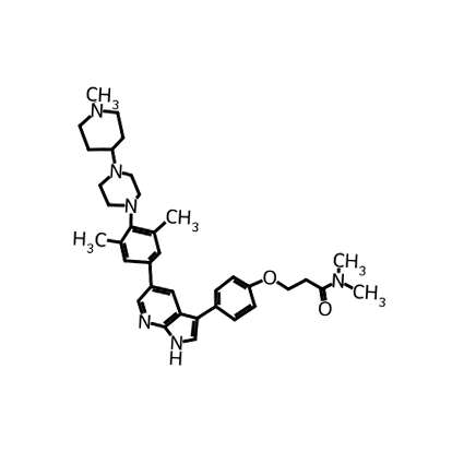 Cc1cc(-c2cnc3[nH]cc(-c4ccc(OCCC(=O)N(C)C)cc4)c3c2)cc(C)c1N1CCN(C2CCN(C)CC2)CC1